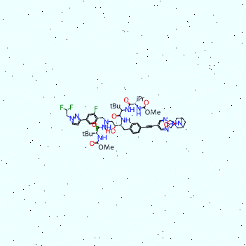 COC(=O)N[C@H](C(=O)NC(C(=O)N[C@@H](Cc1ccc(C#Cc2cnc(N3CC4CC(C3)N4C3COC3)nc2)cc1)[C@@H](O)CN(Cc1c(F)cc(-c2ccn(CC(F)F)n2)cc1F)NC(=O)[C@@H](NC(=O)OC)C(C)(C)C)C(C)(C)C)C(C)C